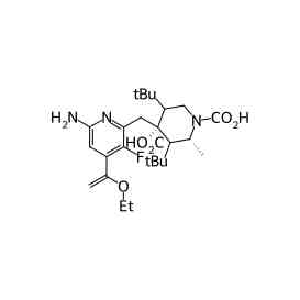 C=C(OCC)c1cc(N)nc(C[C@@]2(C(=O)O)C(C(C)(C)C)CN(C(=O)O)[C@H](C)C2C(C)(C)C)c1F